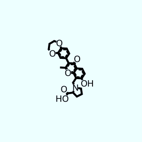 Cc1oc2c(CN3CCCC3C(=O)O)c(O)ccc2c(=O)c1-c1ccc2c(c1)OCCCO2